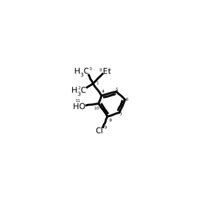 CCC(C)(C)c1cccc(Cl)c1O